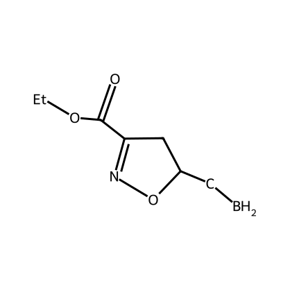 BCC1CC(C(=O)OCC)=NO1